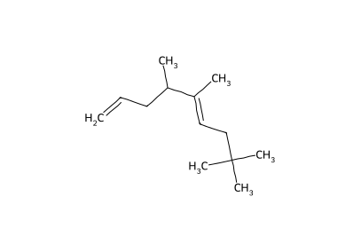 C=CCC(C)/C(C)=C/CC(C)(C)C